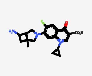 CC12CC(N)C1CN(c1cc3c(cc1F)c(=O)c(C(=O)O)cn3C1CC1)C2